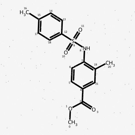 COC(=O)c1ccc(NS(=O)(=O)c2ccc(C)cc2)c(C)c1